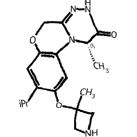 CC(C)c1cc2c(cc1OC1(C)CNC1)N1C(=NNC(=O)[C@@H]1C)CO2